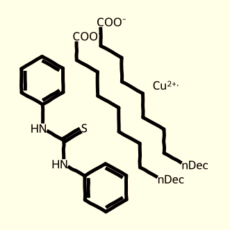 CCCCCCCCCCCCCCCCCC(=O)[O-].CCCCCCCCCCCCCCCCCC(=O)[O-].S=C(Nc1ccccc1)Nc1ccccc1.[Cu+2]